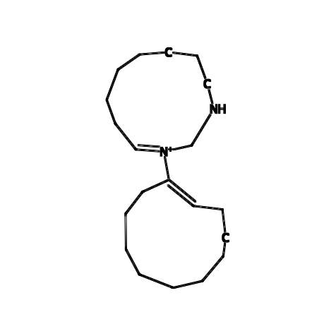 C1=C(\[N+]2=C\CCCCCCCNC2)CCCCCCCCC/1